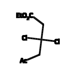 CCOC(=O)CC(Cl)(Cl)CC(C)=O